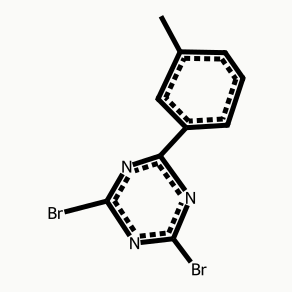 Cc1cccc(-c2nc(Br)nc(Br)n2)c1